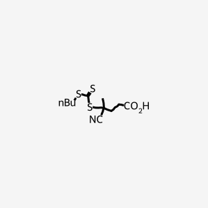 CCCCSC(=S)SC(C)(C#N)CCC(=O)O